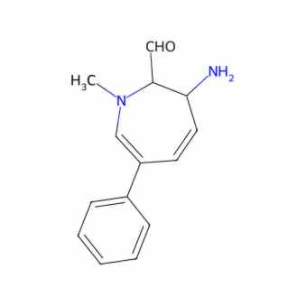 CN1C=C(c2ccccc2)C=CC(N)C1C=O